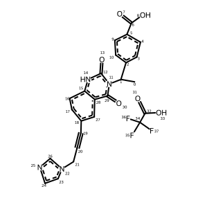 CC(c1ccc(C(=O)O)cc1)n1c(=O)[nH]c2ccc(C#CCn3ccnc3)cc2c1=O.O=C(O)C(F)(F)F